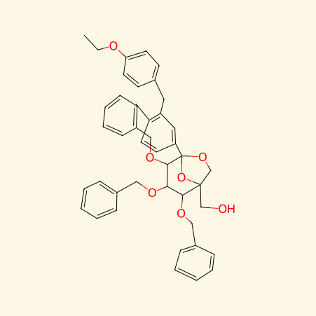 CCOc1ccc(Cc2cc(C34OCC(CO)(O3)C(OCc3ccccc3)C(OCc3ccccc3)C4OCc3ccccc3)ccc2C)cc1